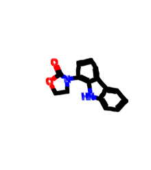 O=C1OCCN1c1cccc2c1[nH]c1ccccc12